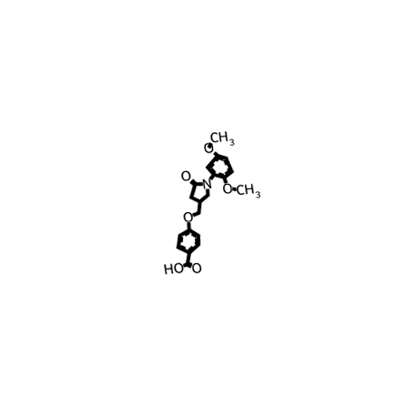 COc1ccc(OC)c(N2CC(COc3ccc(C(=O)O)cc3)CC2=O)c1